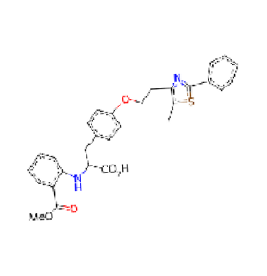 COC(=O)c1ccccc1NC(Cc1ccc(OCCc2nc(-c3ccccc3)sc2C)cc1)C(=O)O